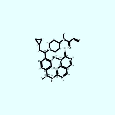 C=CC(=O)N(C)C1CCN(C(CC2CC2)c2ccc([C@H](C)Nc3ncc4cnc(=O)n(C(C)C)c4n3)cc2)CC1